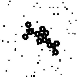 c1ccc(-c2cc(-c3cc(-c4ccccc4)c(-n4c5ccccc5c5c6sc7c(ccc8c7c7ccccc7n8-c7ccccc7)c6ccc54)c(-c4ccccc4)c3)nc(-c3ccccc3)n2)cc1